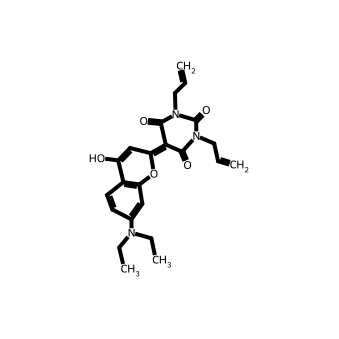 C=CCN1C(=O)C(=C2C=C(O)c3ccc(N(CC)CC)cc3O2)C(=O)N(CC=C)C1=O